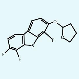 Fc1ccc2c(sc3c(F)c(OC4CCCO4)ccc32)c1F